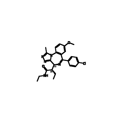 CCNC(=O)[C@H](CC)[C@@H]1N=C(c2ccc(Cl)cc2)c2cc(OC)ccc2-n2c(C)nnc21